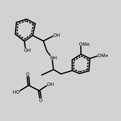 COc1ccc(CC(C)NCC(O)c2ccccc2O)cc1OC.O=C(O)C(=O)O